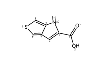 O=C(O)c1cc2cscc2[nH]1